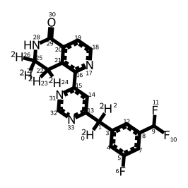 [2H]C([2H])(c1cc(F)cc(C(F)F)c1)c1cc(-c2nccc3c2C([2H])([2H])C([2H])([2H])NC3=O)ncn1